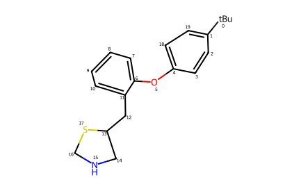 CC(C)(C)c1ccc(Oc2ccccc2CC2CNCS2)cc1